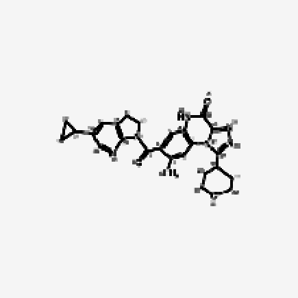 Cc1cc2c(cc1C(=O)N1CCc3cc(C4CC4)cnc31)[nH]c(=O)c1nnc(C3CCOCC3)n12